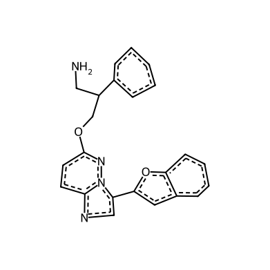 NCC(COc1ccc2ncc(-c3cc4ccccc4o3)n2n1)c1ccccc1